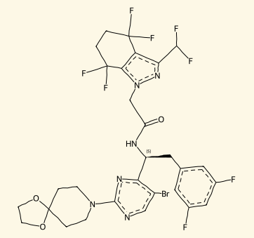 O=C(Cn1nc(C(F)F)c2c1C(F)(F)CCC2(F)F)N[C@@H](Cc1cc(F)cc(F)c1)c1nc(N2CCC3(CC2)OCCO3)ncc1Br